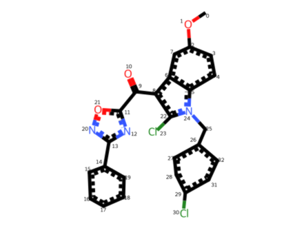 COc1ccc2c(c1)c(C(=O)c1nc(-c3ccccc3)no1)c(Cl)n2Cc1ccc(Cl)cc1